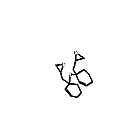 C1=CC(CC2CO2)(OC2(CC3CO3)C=CCCC2)CCC1